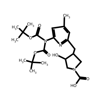 Cc1cc(CC2CN(C(=O)O)CC2O)nc(N(C(=O)OC(C)(C)C)C(=O)OC(C)(C)C)c1